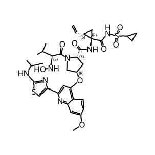 C=C[C@@H]1C[C@]1(NC(=O)[C@@H]1C[C@@H](Oc2cc(-c3csc(NC(C)C)n3)nc3cc(OC)ccc23)CN1C(=O)[C@@H](NO)C(C)C)C(=O)NS(=O)(=O)C1CC1